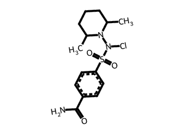 CC1CCCC(C)N1N(Cl)S(=O)(=O)c1ccc(C(N)=O)cc1